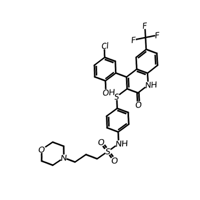 O=c1[nH]c2ccc(C(F)(F)F)cc2c(-c2cc(Cl)ccc2O)c1Sc1ccc(NS(=O)(=O)CCCN2CCOCC2)cc1